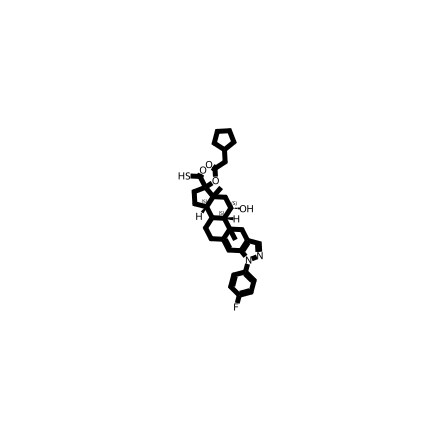 CC12Cc3cnn(-c4ccc(F)cc4)c3C=C1CCC1[C@@H]2[C@@H](O)CC2(C)[C@H]1CCC2(OC(=O)CC1CCCC1)C(=O)S